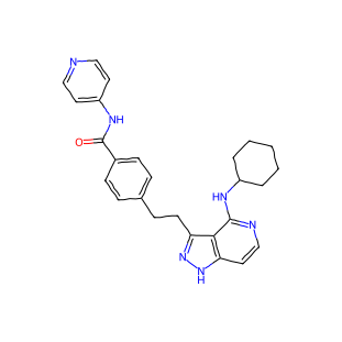 O=C(Nc1ccncc1)c1ccc(CCc2n[nH]c3ccnc(NC4CCCCC4)c23)cc1